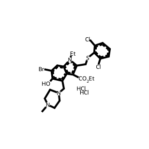 CCOC(=O)c1c(CSc2c(Cl)cccc2Cl)n(CC)c2cc(Br)c(O)c(CN3CCN(C)CC3)c12.Cl.Cl